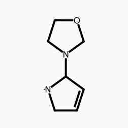 C1=CC(N2CCOC2)[N]C1